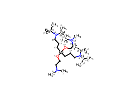 CN(C)CCO[Si](CCCN([SiH](C)C)[SiH](C)C)(CCCN([SiH](C)C)[SiH](C)C)OCCN(C)C